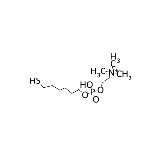 C[N+](C)(C)CCOP(=O)(O)OCCCCCCS